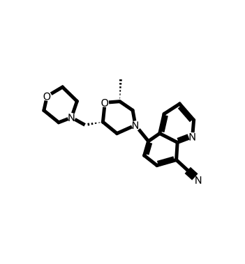 C[C@@H]1CN(c2ccc(C#N)c3ncccc23)C[C@H](CN2CCOCC2)O1